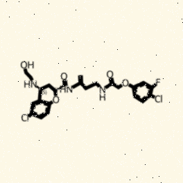 C=C(CCNC(=O)COc1ccc(Cl)c(F)c1)NC(=O)[C@@H]1C[C@H](NCCO)c2cc(Cl)ccc2O1